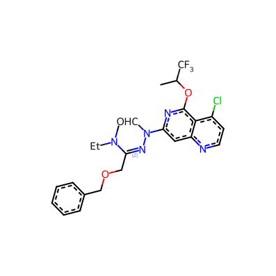 CCN(C)/C(COCc1ccccc1)=N\N(C=O)c1cc2nccc(Cl)c2c(OC(C)C(F)(F)F)n1